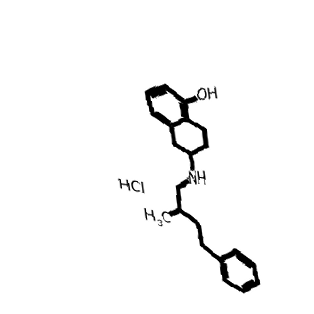 CC(CCc1ccccc1)CNC1CCc2c(O)cccc2C1.Cl